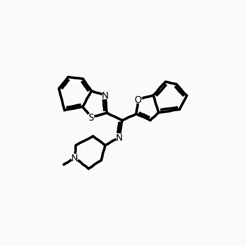 CN1CCC(N=C(c2cc3ccccc3o2)c2nc3ccccc3s2)CC1